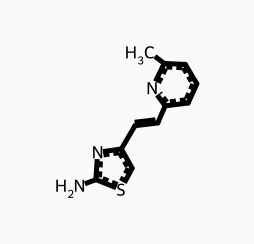 Cc1cccc(C=Cc2csc(N)n2)n1